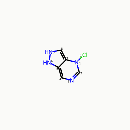 ClN1C=NC=C2NNC=C21